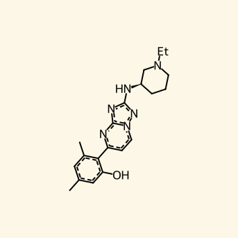 CCN1CCC[C@@H](Nc2nc3nc(-c4c(C)cc(C)cc4O)ccn3n2)C1